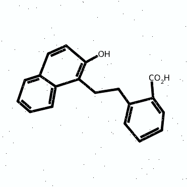 O=C(O)c1ccccc1CCc1c(O)ccc2ccccc12